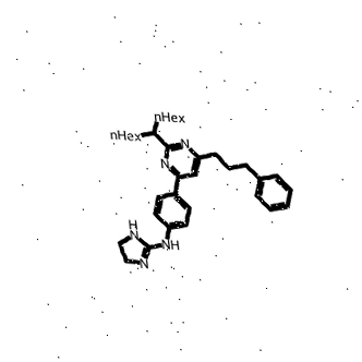 CCCCCCC(CCCCCC)c1nc(CCCc2ccccc2)cc(-c2ccc(NC3=NCCN3)cc2)n1